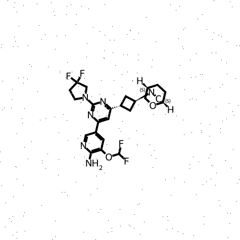 Nc1ncc(-c2cc([C@H]3C[C@H](N4C[C@@H]5CC[C@H]4CO5)C3)nc(N3CCC(F)(F)C3)n2)cc1OC(F)F